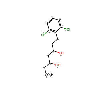 O=C(O)CC(O)CC(O)CCc1c(Cl)cccc1Cl